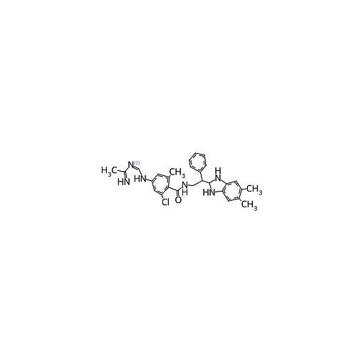 CC(=N)/N=C\Nc1cc(C)c(C(=O)NCC(c2ccccc2)C2Nc3cc(C)c(C)cc3N2)c(Cl)c1